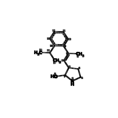 CC(=CC1CCNC1O)c1ccccc1C(C)C